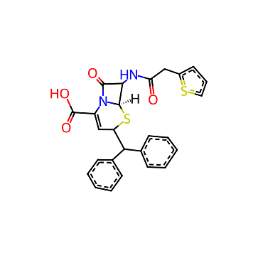 O=C(Cc1cccs1)NC1C(=O)N2C(C(=O)O)=CC(C(c3ccccc3)c3ccccc3)S[C@H]12